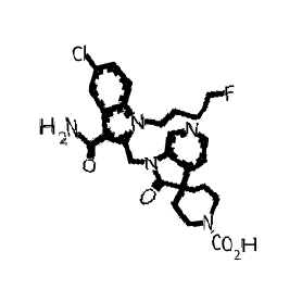 NC(=O)c1c(CN2C(=O)C3(CCN(C(=O)O)CC3)c3ccncc32)n(CCCCF)c2ccc(Cl)cc12